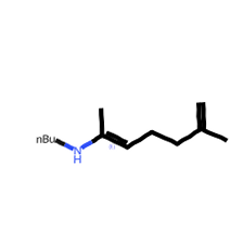 C=C(C)CC/C=C(\C)NCCCC